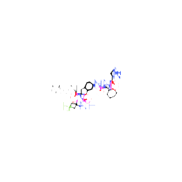 CNC(=O)C1(N2CC3(CNC2=O)CC(F)(F)C3)Cc2ccc(NC(=O)[C@@H](NC(=O)c3ccnn3C)C3CCCCC3)cc2C1